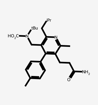 Cc1ccc(-c2c(CCC(N)=O)c(C)nc(CC(C)C)c2CN(C(=O)O)C(C)(C)C)cc1